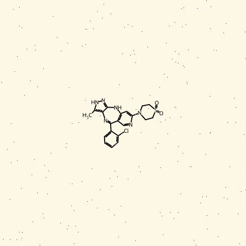 Cc1[nH]nc2c1N=C(c1ccccc1Cl)c1cnc(N3CCS(=O)(=O)CC3)cc1N2